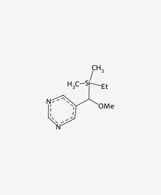 CC[Si](C)(C)C(OC)c1cncnc1